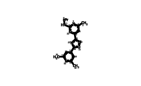 CCCNc1nc(C)cc(-c2noc(-c3cc(C)nc(C)c3)n2)n1